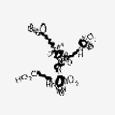 CC(C)(C)OC(=O)CCCCCCNC(=O)c1ccc(S(=O)(=O)N(Cc2ccccn2)C(=O)CCCCCNc2ccc([N+](=O)[O-])c3nonc23)cc1.O=C(O)CCCCCNc1ccc([N+](=O)[O-])c2nonc12